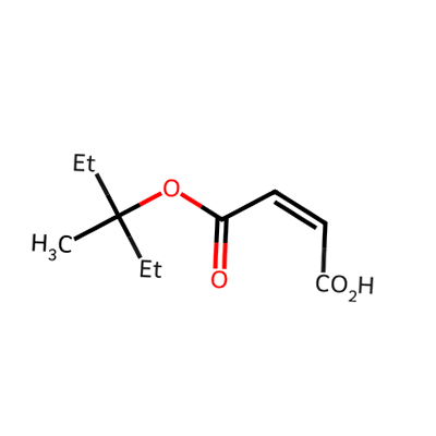 CCC(C)(CC)OC(=O)/C=C\C(=O)O